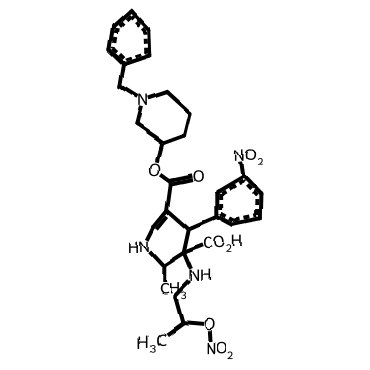 CC(CNC1(C(=O)O)C(C)NC=C(C(=O)OC2CCCN(Cc3ccccc3)C2)C1c1cccc([N+](=O)[O-])c1)O[N+](=O)[O-]